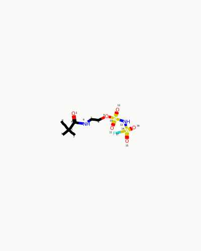 CC(C)(C)C(=O)NCCOS(=O)(=O)NS(=O)(=O)F